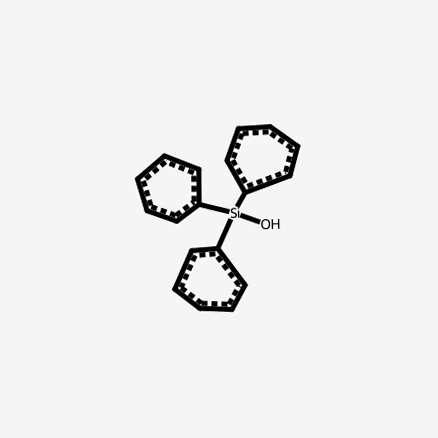 O[Si](c1ccccc1)(c1ccccc1)c1ccccc1